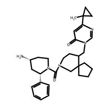 CC1(c2cc(=O)n(CC3CCN(C(=O)N4CC[C@@H](N)C[C@H]4c4ccccc4)CC34CCCC4)cn2)CC1